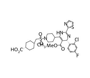 COC(=O)C1=C(C2CCN(S(=O)(=O)C[C@]3(C)CC[C@@H](C(=O)O)CC3)CC2)NC(c2nccs2)=N[C@@H]1c1ccc(F)cc1Cl